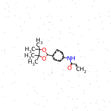 C=CC(=O)Nc1ccc(C2OC(C)(C)C(C)(C)O2)cc1